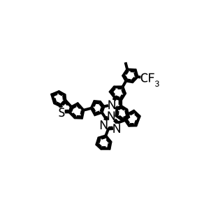 Cc1cc(-c2ccc3c(c2)c2ccccc2n3-c2ccc(-c3ccc4sc5ccccc5c4c3)cc2-c2nc(-c3ccccc3)nc(-c3ccccc3)n2)cc(C(F)(F)F)c1